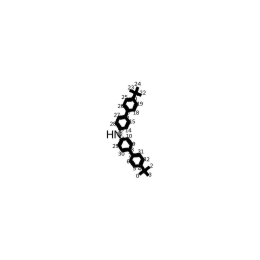 CC(C)(C)c1ccc(-c2ccc(Nc3ccc(-c4ccc(C(C)(C)C)cc4)cc3)cc2)cc1